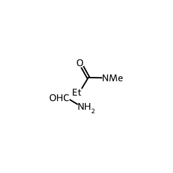 CCC(=O)NC.NC=O